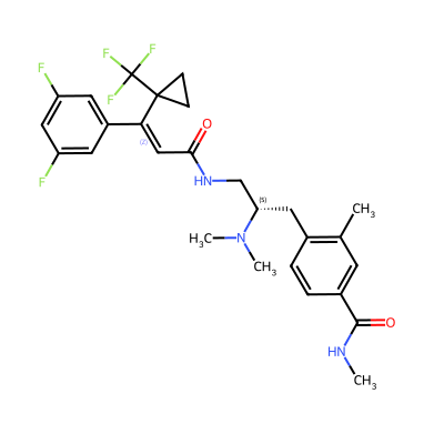 CNC(=O)c1ccc(C[C@@H](CNC(=O)/C=C(/c2cc(F)cc(F)c2)C2(C(F)(F)F)CC2)N(C)C)c(C)c1